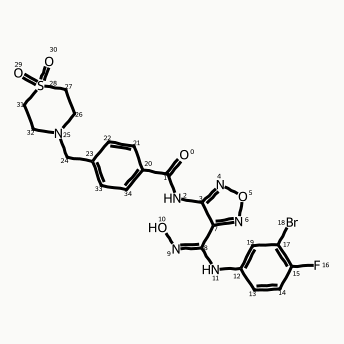 O=C(Nc1nonc1/C(=N\O)Nc1ccc(F)c(Br)c1)c1ccc(CN2CCS(=O)(=O)CC2)cc1